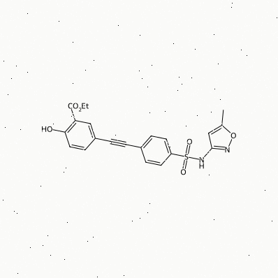 CCOC(=O)c1cc(C#Cc2ccc(S(=O)(=O)Nc3cc(C)on3)cc2)ccc1O